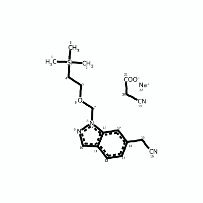 C[Si](C)(C)CCOCn1ncc2ccc(CC#N)cc21.N#CCC(=O)[O-].[Na+]